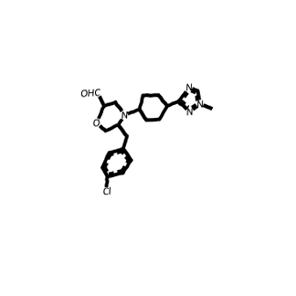 Cn1cnc(C2CCC(N3CC(C=O)OCC3Cc3ccc(Cl)cc3)CC2)n1